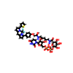 O=C(COc1ccc(C2=[N+]3C(=Cc4ccc(-c5cccs5)n4[B-]3(F)F)C=C2)cc1)NCCCCCNC(=O)[C@H]1O[C@H](OP(=O)(O)OP(=O)(O)OCC2OC(n3ccc(=O)[nH]c3=O)C(O)C2O)[C@H](O)[C@@H](O)[C@@H]1O